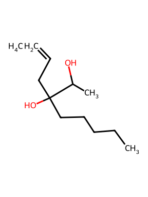 C.C=CCC(O)(CCCCC)C(C)O